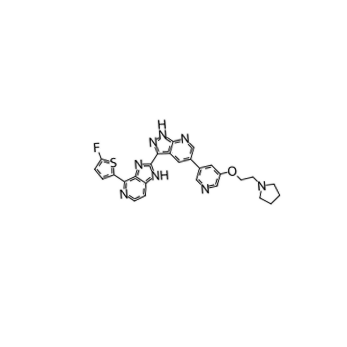 Fc1ccc(-c2nccc3[nH]c(-c4n[nH]c5ncc(-c6cncc(OCCN7CCCC7)c6)cc45)nc23)s1